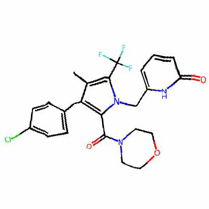 Cc1c(-c2ccc(Cl)cc2)c(C(=O)N2CCOCC2)n(Cc2cccc(=O)[nH]2)c1C(F)(F)F